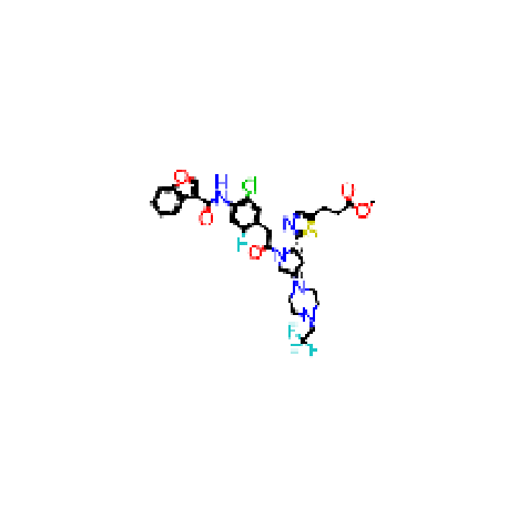 COC(=O)CCc1cnc([C@@H]2C[C@H](N3CCN(CC(F)(F)F)CC3)CN2C(=O)Cc2cc(Cl)c(NC(=O)c3coc4ccccc34)cc2F)s1